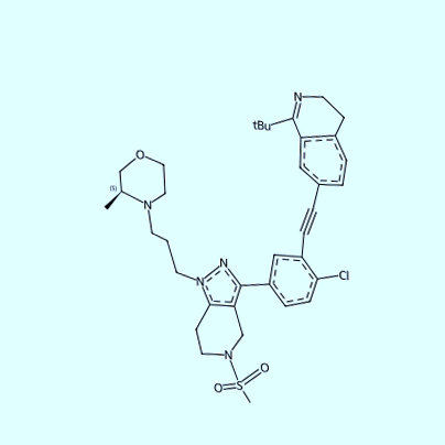 C[C@H]1COCCN1CCCn1nc(-c2ccc(Cl)c(C#Cc3ccc4c(c3)C(C(C)(C)C)=NCC4)c2)c2c1CCN(S(C)(=O)=O)C2